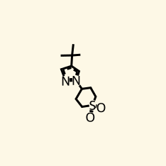 CC(C)(C)c1cnn(C2CCS(=O)(=O)CC2)c1